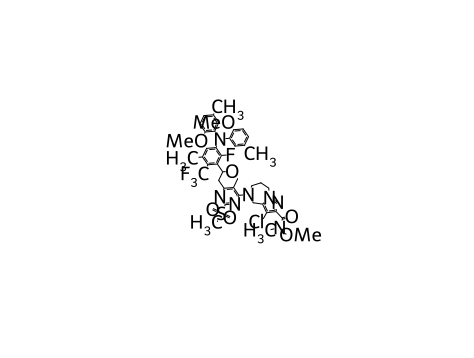 COc1ccc(C)cc1N(c1cc(C)ccc1OC)c1cc(C)c(C(F)(F)F)c(C2Cc3nc(S(C)(=O)=O)nc(N4CCCn5nc(C(=O)N(C)OC)c(Cl)c5C4)c3CO2)c1F